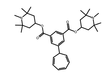 CN1C(C)(C)CC(OC(=O)c2cc(C(=O)OC3CC(C)(C)N(C)C(C)(C)C3)cc(C3C=CC=CC=C3)c2)CC1(C)C